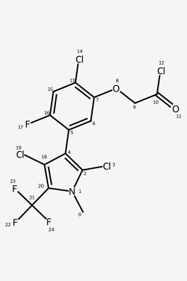 Cn1c(Cl)c(-c2cc(OCC(=O)Cl)c(Cl)cc2F)c(Cl)c1C(F)(F)F